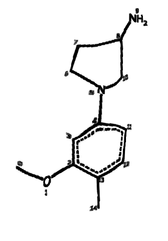 COc1cc(N2CCC(N)C2)ccc1C